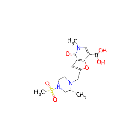 C[C@@H]1CN(S(C)(=O)=O)CCN1Cc1cc2c(=O)n(C)cc(B(O)O)c2o1